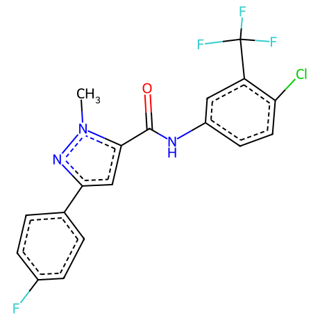 Cn1nc(-c2ccc(F)cc2)cc1C(=O)Nc1ccc(Cl)c(C(F)(F)F)c1